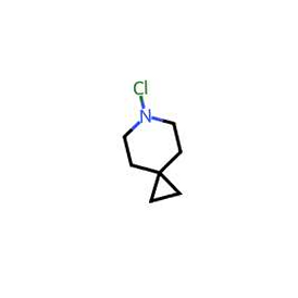 ClN1CCC2(CC1)CC2